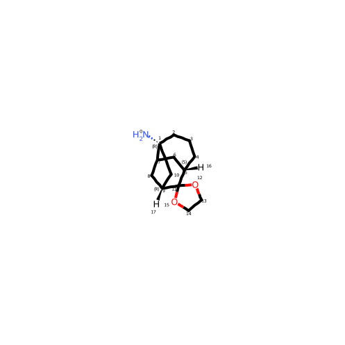 N[C@@]12CCC[C@H]3CC1C[C@H](C2)C31OCCO1